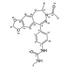 CNC(=O)Nc1ccc(C2=NN(C(C)=O)C(C)Cc3cc4c(cc32)OCO4)cc1